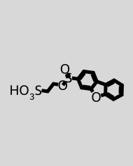 O=S(OCCS(=O)(=O)O)c1ccc2c(c1)oc1ccccc12